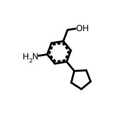 Nc1cc(CO)cc(C2CCCC2)c1